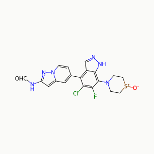 O=CNc1cc2cc(-c3c(Cl)c(F)c(N4CC[S+]([O-])CC4)c4[nH]ncc34)ccn2n1